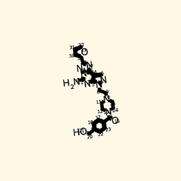 Nc1nc2c(cnn2CCN2CCN(C(=O)c3ccc(CO)cc3)CC2)c2nc(-c3ccco3)nn12